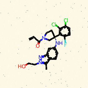 C=CC(=O)N1CC[C@@](Nc2ccc3c(C)n(CCO)nc3c2)(c2c(F)ccc(Cl)c2Cl)C1